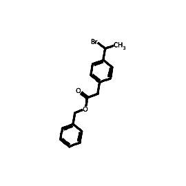 CC(Br)c1ccc(CC(=O)OCc2ccccc2)cc1